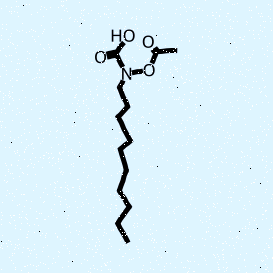 CCCCCCCCCCN(OC(C)=O)C(=O)O